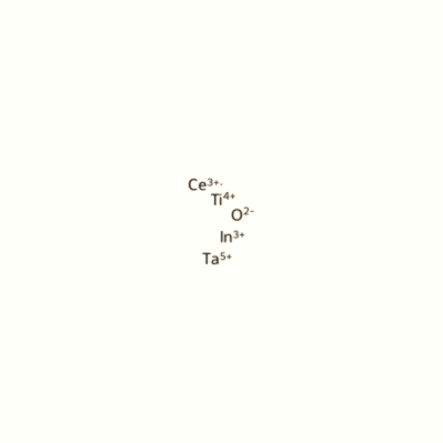 [Ce+3].[In+3].[O-2].[Ta+5].[Ti+4]